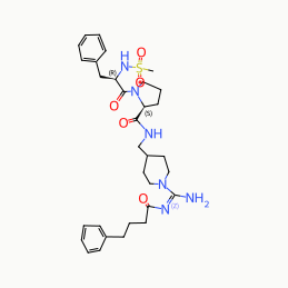 CS(=O)(=O)N[C@H](Cc1ccccc1)C(=O)N1CCC[C@H]1C(=O)NCC1CCN(/C(N)=N\C(=O)CCCc2ccccc2)CC1